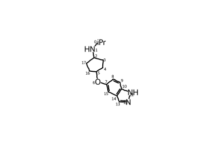 CC(C)NC1CCC(Oc2ccc3[nH]ncc3c2)CC1